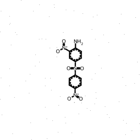 Nc1ccc(S(=O)(=O)c2ccc([N+](=O)[O-])cc2)cc1[N+](=O)[O-]